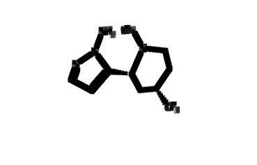 CC(C)(C)N1CC[C@H](C(F)(F)F)C[C@@H]1c1ccnn1N